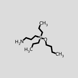 CCCCO[Si](CCC)(CCC)CCCN